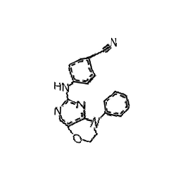 N#Cc1ccc(Nc2ncc3c(n2)N(c2ccccc2)CCO3)cc1